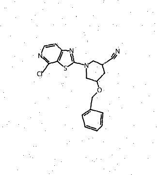 N#CC1CC(OCc2ccccc2)CN(c2nc3ccnc(Cl)c3s2)C1